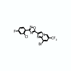 Fc1ccc(-c2noc(-c3cn4cc(C(F)(F)F)cc(Br)c4n3)n2)c(Cl)c1